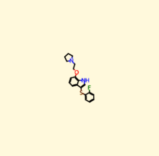 Fc1ccccc1Sc1c[nH]c2c(OCCN3CCCC3)cccc12